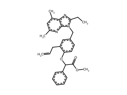 C=CCc1cc(Cn2c(CC)nc3c(C)cc(C)nc32)ccc1OC(C(=O)OC)c1ccccc1